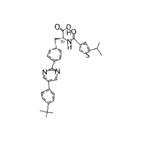 CC(C)c1cc(C(=O)N[C@@H](Cc2ccc(-c3ncc(-c4ccc(C(C)(C)C)cc4)cn3)cc2)C(=O)O)cs1